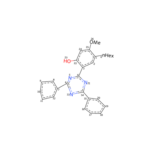 CCCCCCc1cc(-c2nc(-c3ccccc3)nc(-c3ccccc3)n2)c(O)cc1OC